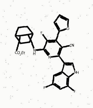 CCOC(=O)C1C2CCC(CC2)C1Nc1nc(-c2c[nH]c3c(F)cc(F)cc23)c(C#N)c(-c2ccco2)c1F